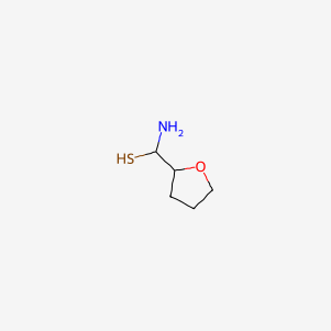 NC(S)C1CCCO1